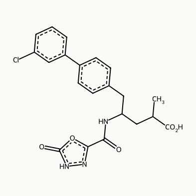 CC(CC(Cc1ccc(-c2cccc(Cl)c2)cc1)NC(=O)c1n[nH]c(=O)o1)C(=O)O